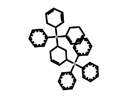 C1=CCCC([Si](c2ccccc2)(C2C=CC=CC2)C2CC=CC([Si](c3ccccc3)(c3ccccc3)c3ccccc3)C2)=C1